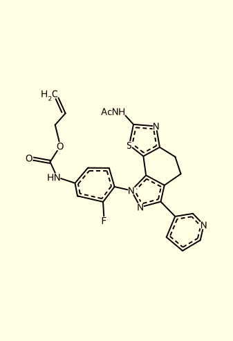 C=CCOC(=O)Nc1ccc(-n2nc(-c3cccnc3)c3c2-c2sc(NC(C)=O)nc2CC3)c(F)c1